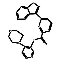 O=C(Nc1cnccc1N1CCNCC1)c1cccc(-c2csc3ccccc23)n1